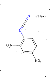 CCCCCCN=C=Nc1ccc([N+](=O)[O-])cc1[N+](=O)[O-]